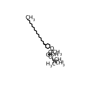 CCCCCCCCCCCCCCCC=C1CCC(OC(C)OP(=O)(O)OCC[N+](C)(C)C)CC1